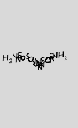 Nc1nc2ccc(Sc3ccc(C4=Nn5c(nnc5Sc5ccc6nc(N)sc6c5)CC4)cc3)cc2s1